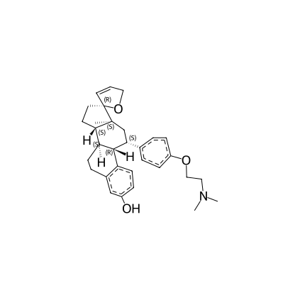 CN(C)CCOc1ccc([C@H]2C[C@@]3(C)[C@@H](CC[C@@]34C=CCO4)[C@@H]3CCc4cc(O)ccc4[C@H]32)cc1